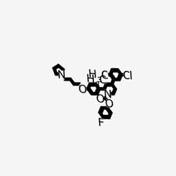 CC1=C(c2cc(Cl)ccc2C)CCN(C(=O)Oc2ccc(F)cc2)C1c1ccc(OCCCCN2CCCC2)cc1